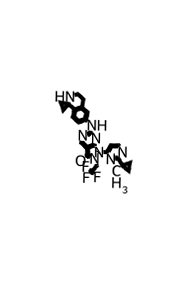 CC1(c2nccc(-n3c4nc(Nc5ccc6c(c5)CCNC65CC5)ncc4c(=O)n3CC(F)(F)F)n2)CC1